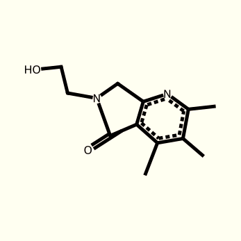 Cc1nc2c(c(C)c1C)C(=O)N(CCO)C2